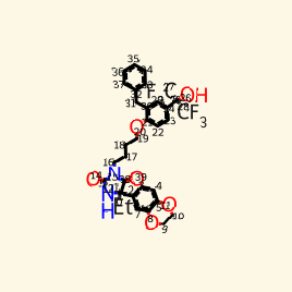 CCC1(c2ccc3c(c2)OCCO3)NC(=O)N(CCCCOc2ccc(C(O)(C(F)(F)F)C(F)(F)F)cc2Cc2ccccc2)C1=O